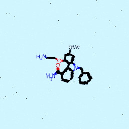 COc1cc(OCCN)c2c3c(C(N)=O)cccc3n(Cc3ccccc3)c2c1